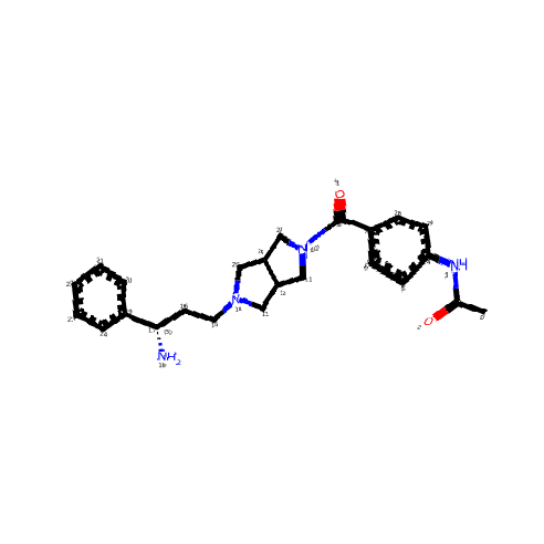 CC(=O)Nc1ccc(C(=O)N2CC3CN(CC[C@H](N)c4ccccc4)CC3C2)cc1